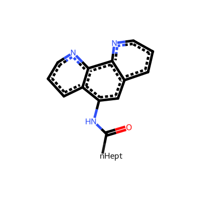 CCCCCCCC(=O)Nc1cc2cccnc2c2ncccc12